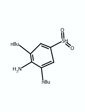 CCCCc1cc([SH](=O)=O)cc(CCCC)c1N